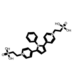 O=P(O)(O)CC[n+]1ccc(-c2ccc(-c3cc[n+](CCP(=O)(O)O)cc3)n2-c2ccccc2)cc1